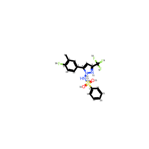 Cc1cc(-c2cc(C(F)(F)F)nn2NS(=O)(=O)c2ccccc2)ccc1F